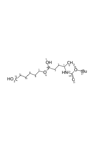 CC(CCP(O)OCCCCCC(=O)O)NC(=O)OC(C)(C)C